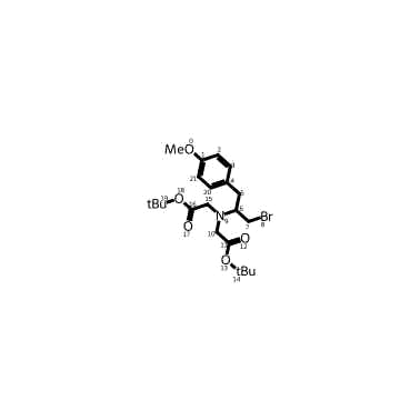 COc1ccc(CC(CBr)N(CC(=O)OC(C)(C)C)CC(=O)OC(C)(C)C)cc1